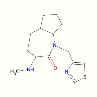 CNC1CCC2CCCC2N(Cc2cscn2)C1=O